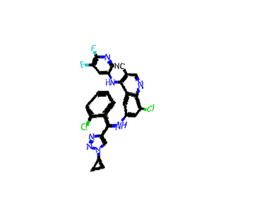 N#Cc1cnc2c(Cl)cc(NC(c3cn(C4CC4)nn3)c3ccccc3Cl)cc2c1Nc1cnc(F)c(F)c1